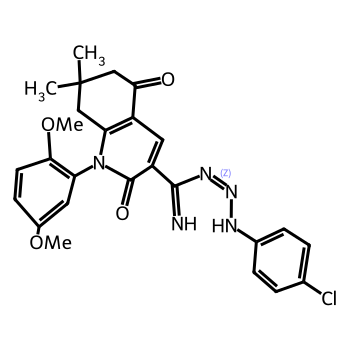 COc1ccc(OC)c(-n2c3c(cc(C(=N)/N=N\Nc4ccc(Cl)cc4)c2=O)C(=O)CC(C)(C)C3)c1